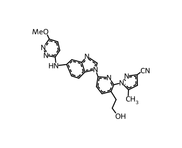 COc1ccc(Nc2ccc3c(c2)ncn3-c2ccc(CCO)c(-n3nc(C#N)cc3C)n2)nn1